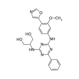 COc1cc(Nc2nc(NC(CO)CO)nc(-c3ccccc3)n2)ccc1-c1cnco1